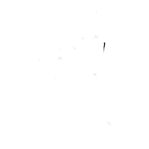 Cn1c(=O)c2c(-c3cccc(C#N)c3)n3c(c2n(C)c1=O)[C@@H](c1nc(Cl)cs1)CC3